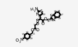 Nc1nc(/C(=N/OCC(=O)OCc2ccc([N+](=O)[O-])cc2)C(=O)OSc2nc3ccccc3s2)cs1